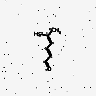 C/C(S)=C/C=C/C=O